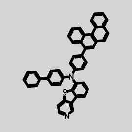 c1ccc(-c2ccc(N(c3ccc(-c4cc5ccc6ccccc6c5c5ccccc45)cc3)c3cccc4c3sc3ccncc34)cc2)cc1